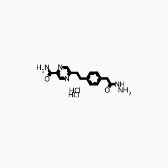 Cl.Cl.NNC(=O)Cc1ccc(CCc2cnc(C(N)=O)cn2)cc1